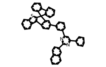 c1ccc(-c2cc(-c3cccc(-c4ccc5c(c4)C4(c6ccccc6-c6ccccc64)c4sc6ccccc6c4-5)c3)nc(-c3ccc4ccccc4c3)n2)cc1